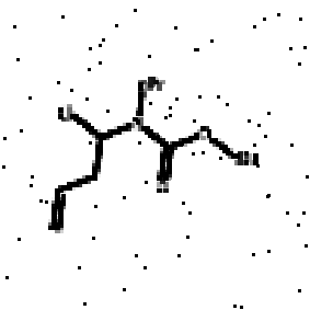 C=CCC(Cl)N(CCC)C(=O)OC(C)(C)C